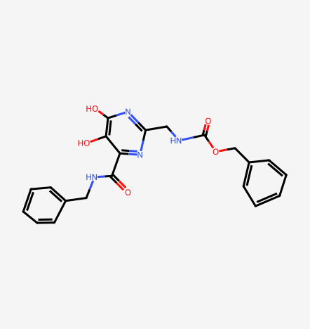 O=C(NCc1nc(O)c(O)c(C(=O)NCc2ccccc2)n1)OCc1ccccc1